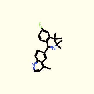 Cc1ccnc2ccc(C3=NC(C)(C)C(C)(C)c4cc(F)ccc43)cc12